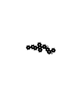 C1=C(c2ccccc2)CCc2cc(-c3c4ccccc4c(-c4ccc5oc6cc7c(ccc8sc9ccccc9c87)cc6c5c4)c4ccccc34)ccc21